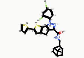 CC1(C)C2CCC(CNC(=O)c3nn(-c4ccc(F)cc4F)c4c3Cc3cc(-c5cccs5)sc3-4)C1C2